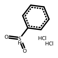 Cl.Cl.O=[SH](=O)c1ccccc1